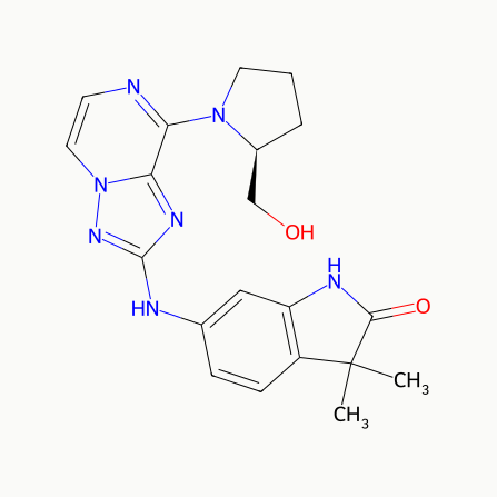 CC1(C)C(=O)Nc2cc(Nc3nc4c(N5CCC[C@H]5CO)nccn4n3)ccc21